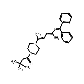 CC(C)(C)OC(=O)N1CCN(/C(N)=C/C=C(\N)N=C(c2ccccc2)c2ccccc2)CC1